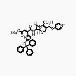 C[n+]1ccc(SCC2=C(C(=O)O)N3C(=O)C(NC(=O)C(=CC(=O)OC(C)(C)C)c4csc(NC(c5ccccc5)(c5ccccc5)c5ccccc5)n4)[C@@H]3SC2)cc1